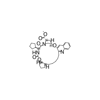 COC(=O)[C@@H]1C[C@@H]2CN1C(=O)[C@H](C1CCCC1)NC(=O)O[C@H]1CCC[C@@H]1CCCCCc1nc3ccccc3cc1O2